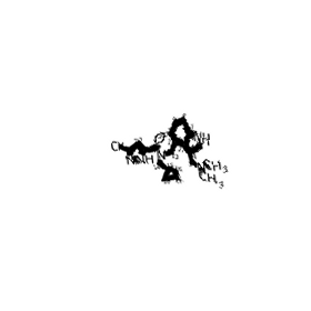 CN(C)Cc1c[nH]c2cccc(CN(CC3CCC3)C(=O)c3cc(Cl)n[nH]3)c12